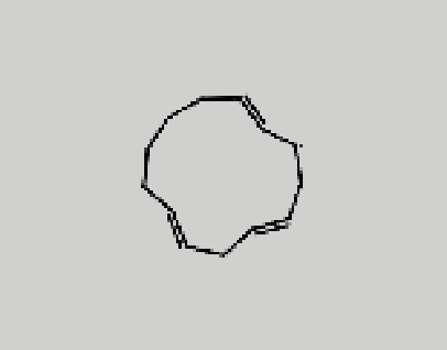 [CH]1/C=C/CCCC/C=C/C/C=C/C1